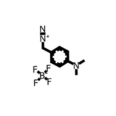 CN(C)c1ccc(C[N+]#N)cc1.F[B-](F)(F)F